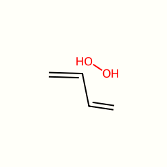 C=CC=C.OO